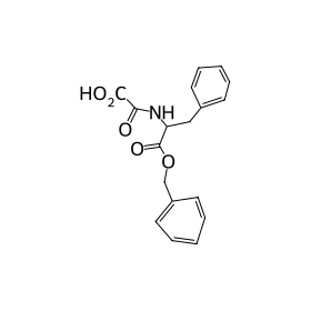 O=C(O)C(=O)NC(Cc1ccccc1)C(=O)OCc1ccccc1